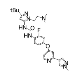 CN(C)CCn1nc(C(C)(C)C)cc1NC(=O)Nc1ccc(Oc2ccnc(-c3cnn(C)c3)c2)cc1F